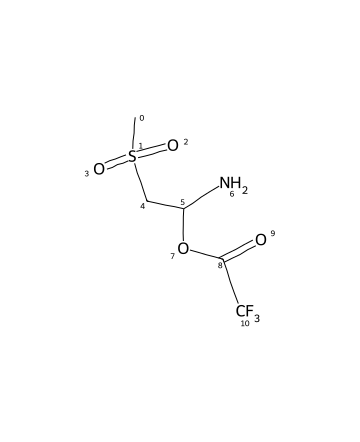 CS(=O)(=O)CC(N)OC(=O)C(F)(F)F